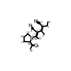 CC/C(C#N)=C(C)/C(C#N)=C(\C)N1CCCC1C(C)=O